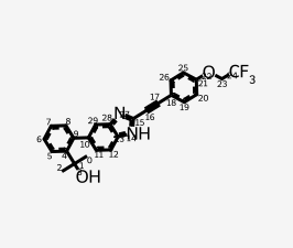 CC(C)(O)c1ccccc1-c1ccc2[nH]c(C#Cc3ccc(OCC(F)(F)F)cc3)nc2c1